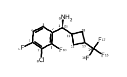 N[C@H](c1ccc(F)c(Cl)c1F)C1CC(C(F)(F)F)C1